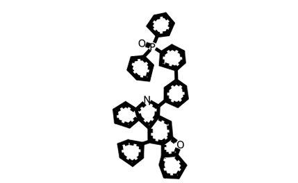 O=P(c1ccccc1)(c1ccccc1)c1cccc(-c2cccc(-c3nc4ccccc4c4c(-c5ccccc5)c5c(cc34)oc3ccccc35)c2)c1